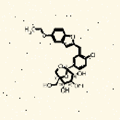 CCOc1ccc2oc(Cc3cc([C@]45OC[C@](CO)(O4)[C@@H](O)[C@H](O)[C@H]5O)ccc3Cl)cc2c1